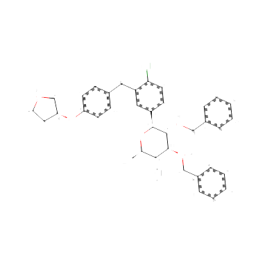 CC[C@H]1O[C@@H](c2ccc(Cl)c(Cc3ccc(O[C@H]4CCOC4)cc3)c2)[C@H](OCc2ccccc2)[C@@H](OCc2ccccc2)[C@@H]1C